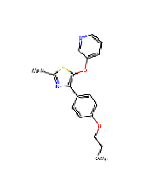 CNc1nc(-c2ccc(OCCOC)cc2)c(Oc2cccnc2)s1